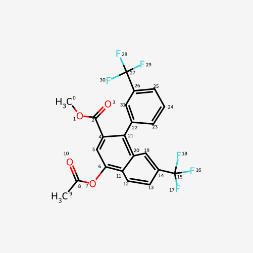 COC(=O)c1cc(OC(C)=O)c2ccc(C(F)(F)F)cc2c1-c1cccc(C(F)(F)F)c1